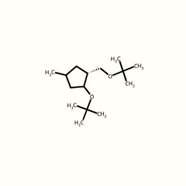 CC1CC(OC(C)(C)C)[C@@H](COC(C)(C)C)C1